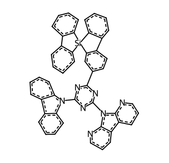 c1ccc2c(c1)-c1ccccc1[Si]21c2ccccc2-c2ccc(-c3nc(-n4c5ccccc5c5ccccc54)nc(-n4c5ncccc5c5cccnc54)n3)cc21